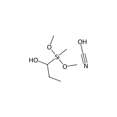 CCC(O)[Si](C)(OC)OC.N#CO